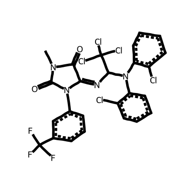 CN1C(=O)C(=NC(N(c2ccccc2Cl)c2ccccc2Cl)C(Cl)(Cl)Cl)N(c2cccc(C(F)(F)F)c2)C1=O